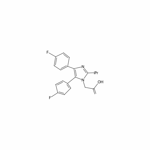 C=C(O)Cn1c(C(C)C)nc(-c2ccc(F)cc2)c1-c1ccc(F)cc1